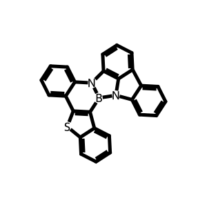 c1ccc2c(c1)-c1sc3ccccc3c1B1N2c2cccc3c4ccccc4n1c23